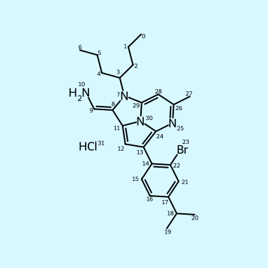 CCCC(CCC)n1c(=CN)c2cc(-c3ccc(C(C)C)cc3Br)c3nc(C)cc1n32.Cl